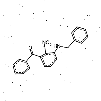 O=C(c1ccccc1)c1cccc(NCc2ccccc2)c1[N+](=O)[O-]